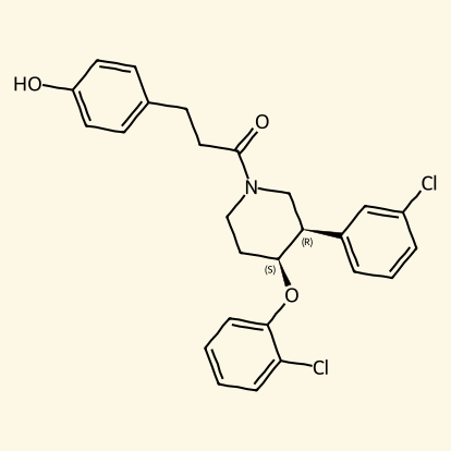 O=C(CCc1ccc(O)cc1)N1CC[C@H](Oc2ccccc2Cl)[C@H](c2cccc(Cl)c2)C1